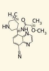 CO[C@@H](C)C(=O)N[C@]1(c2ccc(C#N)c3nccnc23)CNC[C@@H](C)C1